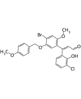 COc1ccc(COc2cc(/C(=C/C=O)c3cccc(Cl)c3O)c(OC)cc2Br)cc1